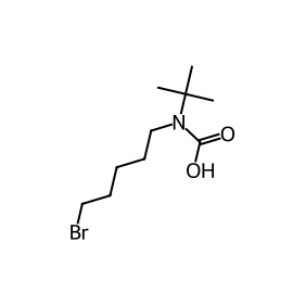 CC(C)(C)N(CCCCCBr)C(=O)O